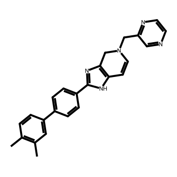 Cc1ccc(-c2ccc(-c3nc4c([nH]3)C=CN(Cc3cnccn3)C4)cc2)cc1C